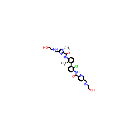 Cc1c(NC(=O)c2nc(CNCCO)cn2C)cccc1-c1cccc(NC(=O)c2ccc(CNCCO)cn2)c1Cl